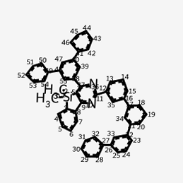 C[Si]1(C)c2ccccc2-c2nc(-c3cccc(-c4cccc(-c5cccc(-c6ccccc6)c5)c4)c3)nc(-c3cc(-c4ccccc4)cc(-c4ccccc4)c3)c21